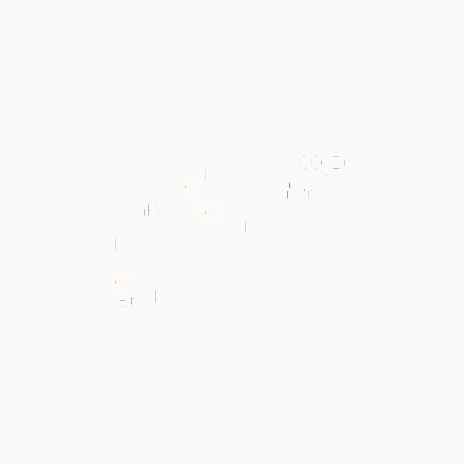 CCC[C@@H](Cc1cc(I)c(OC(=O)[C@@H](CCC)Cc2cc(I)c(OCC)c(I)c2)c(I)c1)C(=O)OCC